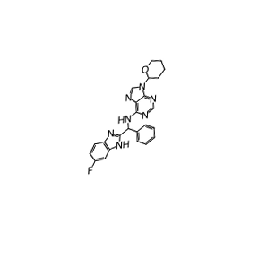 Fc1ccc2nc(C(Nc3ncnc4c3ncn4C3CCCCO3)c3ccccc3)[nH]c2c1